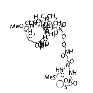 COc1cc2cc(c1Cl)N(C)C(=O)C[C@H](OC(=O)[C@H](C)N(C)C(=O)CC(C)(C)SC1CC(=O)N(CCOCCOCCNC(=O)CCC(=O)N(CCNCCN3C(=O)CC(SC4CCCCCCC4)C3=O)CCNC(=O)CCSC)C1=O)[C@]1(C)O[C@H]1[C@H](C)[C@@H]1C[C@@](O)(NC(=O)O1)[C@H](OC)/C=C/C=C(\C)C2